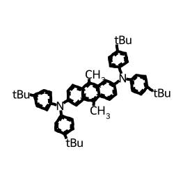 Cc1c2ccc(N(c3ccc(C(C)(C)C)cc3)c3ccc(C(C)(C)C)cc3)cc2c(C)c2ccc(N(c3ccc(C(C)(C)C)cc3)c3ccc(C(C)(C)C)cc3)cc12